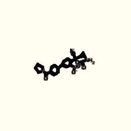 N#CC(OC(N)=O)(c1ccc(-c2ccc(C(=O)N3CCCC3)cc2)cc1[N+](=O)[O-])C1CC1